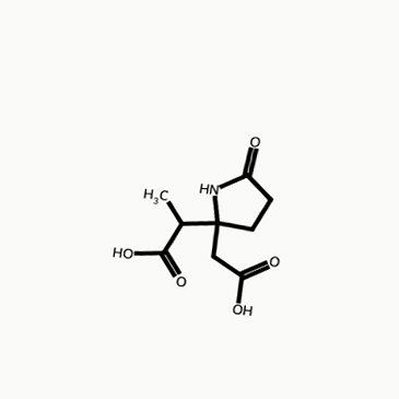 CC(C(=O)O)C1(CC(=O)O)CCC(=O)N1